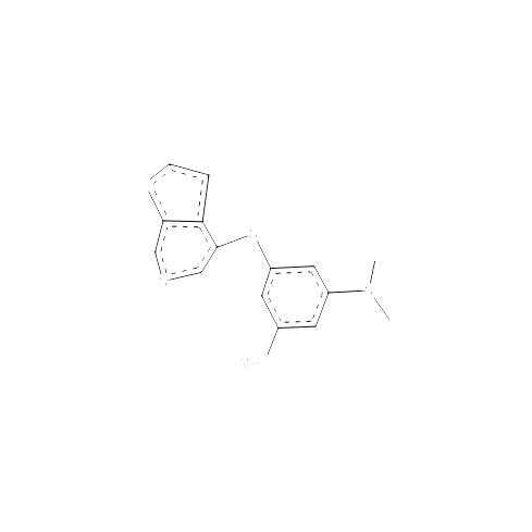 COc1cc(Nc2cncc3sccc23)cc(N(C)C)c1.Cl